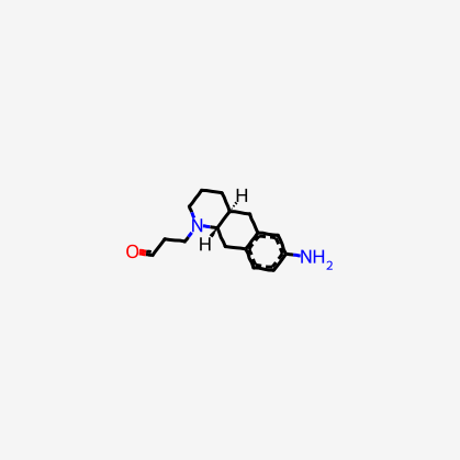 Nc1ccc2c(c1)C[C@@H]1CCCN(CCC=O)[C@H]1C2